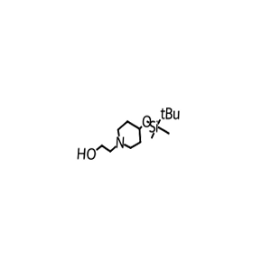 CC(C)(C)[Si](C)(C)OC1CCN(CCO)CC1